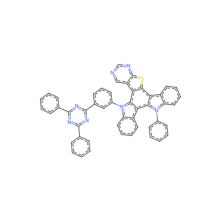 c1ccc(-c2nc(-c3ccccc3)nc(-c3cccc(-n4c5ccccc5c5c6c(c7ccccc7n6-c6ccccc6)c6sc7ncncc7c6c54)c3)n2)cc1